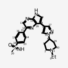 CCN1CCC(n2cc(-c3c[nH]c4ncc(-c5ccc([S@](C)(=N)=O)cc5)nc34)cn2)CC1